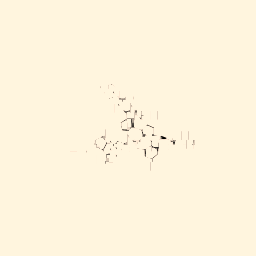 C[C@H]1CC(F)(F)c2c1c(C(F)(F)F)nn2CC(=O)N[C@@H](Cc1cc(F)cc(F)c1)c1nc(C#CC(C)(C)O)ccc1-c1cccc2c(NC(=O)N3CCOCC3)nn(C)c12